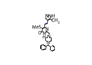 CSc1c(/C=C/c2cn[nH]c2C)nc(CN2CCN(C(c3ccccc3)c3ccccc3)CC2)[nH]c1=O